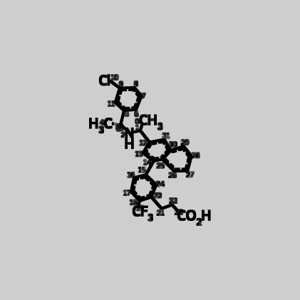 CC(N[C@H](C)c1cccc(Cl)c1)c1cc(-c2ccc(C(F)(F)F)c(CCC(=O)O)c2)c2ccccc2c1